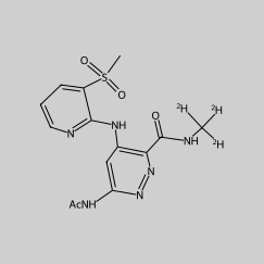 [2H]C([2H])([2H])NC(=O)c1nnc(NC(C)=O)cc1Nc1ncccc1S(C)(=O)=O